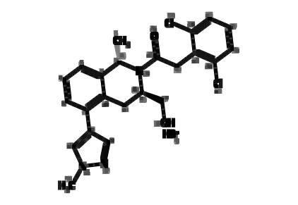 Br.C[C@H]1c2cccc(-c3cnn(C)c3)c2C[C@H](CO)N1C(=O)Cc1c(Cl)cccc1Cl